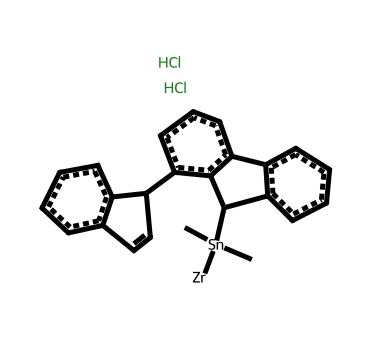 Cl.Cl.[CH3][Sn]([CH3])([Zr])[CH]1c2ccccc2-c2cccc(C3C=Cc4ccccc43)c21